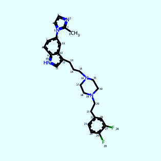 Cc1nccn1-c1ccc2[nH]cc(CCCN3CCN(CCc4ccc(F)c(F)c4)CC3)c2c1